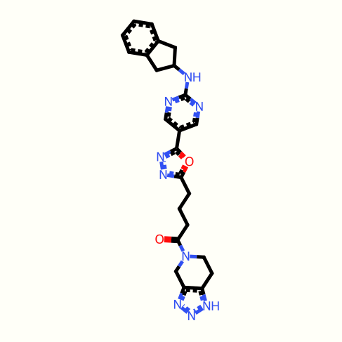 O=C(CCCc1nnc(-c2cnc(NC3Cc4ccccc4C3)nc2)o1)N1CCc2[nH]nnc2C1